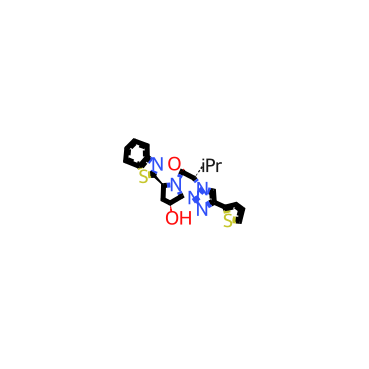 CC(C)[C@@H](C(=O)N1C[C@H](O)C[C@H]1c1nc2ccccc2s1)n1cc(-c2cccs2)nn1